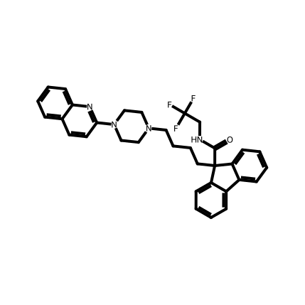 O=C(NCC(F)(F)F)C1(CCCCN2CCN(c3ccc4ccccc4n3)CC2)c2ccccc2-c2ccccc21